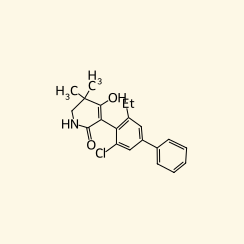 CCc1cc(-c2ccccc2)cc(Cl)c1C1=C(O)C(C)(C)CNC1=O